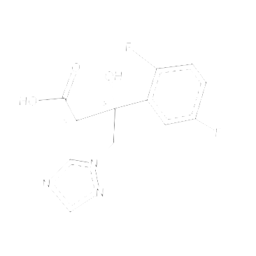 C[C@H](C(=O)O)[C@](O)(Cn1cncn1)c1cc(F)ccc1F